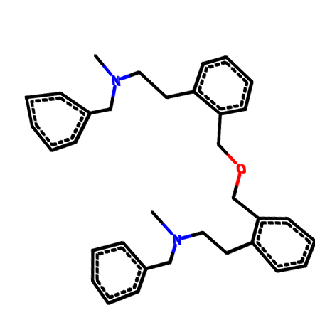 CN(CCc1ccccc1COCc1ccccc1CCN(C)Cc1ccccc1)Cc1ccccc1